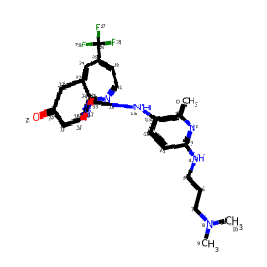 Cc1nc(NCCCN(C)C)ccc1NC1=NC=C2CC(=O)CC3=CC(C(F)(F)F)=CC=NC23N1